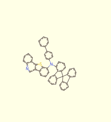 c1ccc(-c2ccc(N(c3cccc4c3-c3ccccc3C43c4ccccc4-c4ccccc43)c3cccc4c3sc3c5ccccc5ncc43)cc2)cc1